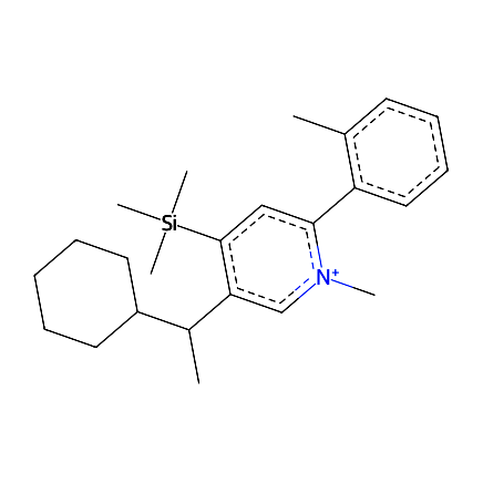 Cc1ccccc1-c1cc([Si](C)(C)C)c(C(C)C2CCCCC2)c[n+]1C